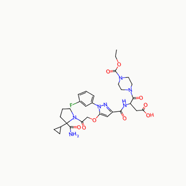 CCOC(=O)N1CCN(C(=O)C(CC(=O)O)NC(=O)c2cc(OCC(=O)N3CCCC3(C(N)=O)C3CC3)n(-c3cccc(F)c3)n2)CC1